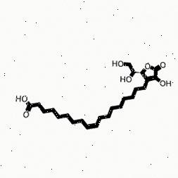 O=C(O)CCCCCCC/C=C\CCCCCCCCC1=C(O)C(=O)O[C@H]1C(O)CO